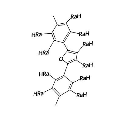 Cc1[c]([RaH])[c]([RaH])c(-c2oc(-c3[c]([RaH])[c]([RaH])c(C)[c]([RaH])[c]3[RaH])[c]([RaH])[c]2[RaH])[c]([RaH])[c]1[RaH]